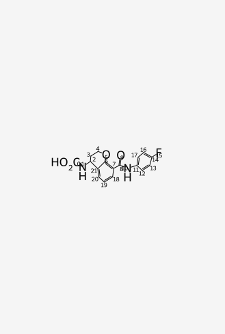 O=C(O)NC1CCOc2c(C(=O)Nc3ccc(F)cc3)cccc21